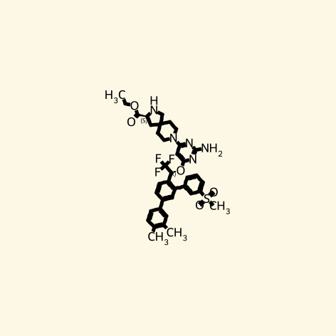 CCOC(=O)[C@@H]1CC2(CCN(c3cc(O[C@H](c4ccc(-c5ccc(C)c(C)c5)cc4-c4cccc(S(C)(=O)=O)c4)C(F)(F)F)nc(N)n3)CC2)CN1